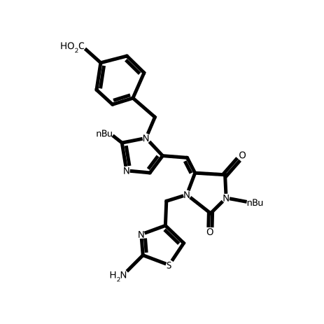 CCCCc1ncc(C=C2C(=O)N(CCCC)C(=O)N2Cc2csc(N)n2)n1Cc1ccc(C(=O)O)cc1